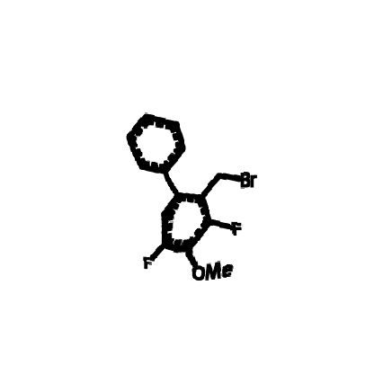 COc1c(F)cc(-c2ccccc2)c(CBr)c1F